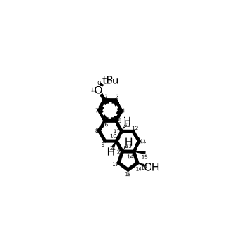 CC(C)(C)Oc1ccc2c(c1)CC[C@@H]1[C@@H]2CC[C@]2(C)[C@@H](O)CC[C@@H]12